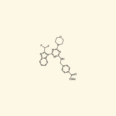 COC(=O)c1ccc(CNc2nc(N3CCOCC3)nc(-n3c(C(F)F)nc4ccccc43)n2)cc1